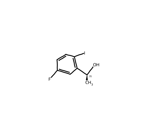 C[C@H](O)c1cc(F)ccc1I